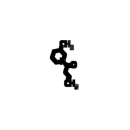 C=CCC(=O)N1CCCC(C)C1